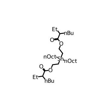 CCCCCCC[CH2][Sn]([CH2]CCCCCCC)([CH2]COC(=O)C(CC)CCCC)[CH2]COC(=O)C(CC)CCCC